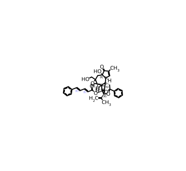 C=C(C)[C@]12OC3(c4ccccc4)C[C@]4([C@H](C)[C@H]1OC(=O)/C=C/C=C/c1ccccc1)[C@@H](C1OC1(CO)C[C@]1(O)C(=O)C(C)=C[C@@H]41)[C@H]2O3